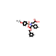 COc1ccc(S(=O)(=O)N(CCC(=O)O)C(C(=O)OCc2ccccc2)C2CCCCC2)cc1